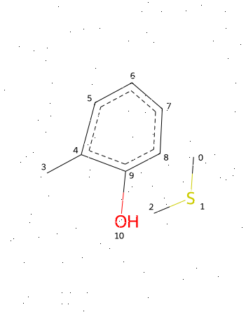 CSC.Cc1ccccc1O